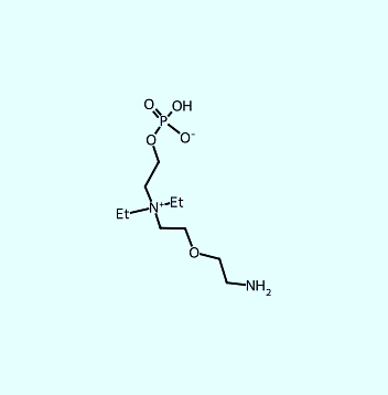 CC[N+](CC)(CCOCCN)CCOP(=O)([O-])O